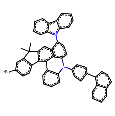 CC(C)(C)c1ccc2c(c1)C(C)(C)c1cccc(-c3ccccc3N(c3ccc(-c4cccc5ccccc45)cc3)c3ccc(-n4c5ccccc5c5ccccc54)cc3)c1-2